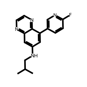 CC(C)CNc1cc(-c2ccc(F)nc2)c2nccnc2c1